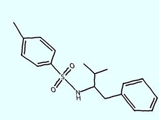 Cc1ccc(S(=O)(=O)NC(Cc2ccccc2)C(C)C)cc1